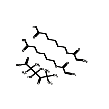 C=CC(=O)OCCCCCC(=O)O.C=CC(=O)OCCCCCC(=O)O.CC(C)(C)C(=O)C(O)(O)C(C)(C)C(=O)O